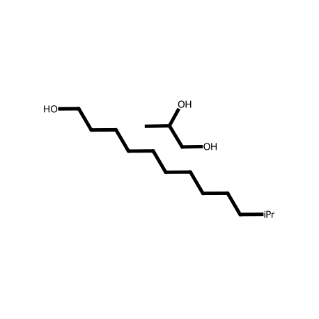 CC(C)CCCCCCCCCCO.CC(O)CO